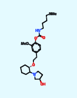 CNCCCCNC(=O)Oc1ccc(CCO[C@H]2CCCCC2N2CC[C@@H](O)C2)cc1OC